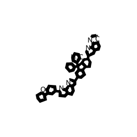 CC1C2=C(C=CC1c1cnc3c(ccc4cccnc43)c1)c1ccc(-c3cnc4c(ccc5ccc(-c6ccc7oc8ccccc8c7c6)nc54)c3)cc1C2(c1ccccc1)c1ccccc1